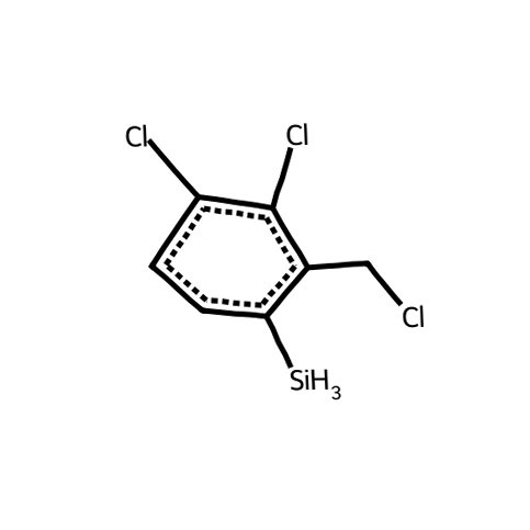 [SiH3]c1ccc(Cl)c(Cl)c1CCl